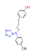 N#Cc1ccc(N(CCCCc2ccc(O)cc2)n2cnnc2)cc1